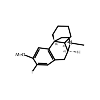 COc1cc2c(cc1I)C[C@H]1[C@@H]3CCCC[C@]23CCN1C